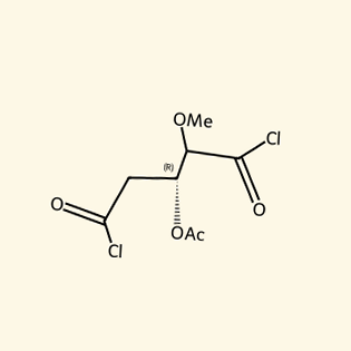 COC(C(=O)Cl)[C@@H](CC(=O)Cl)OC(C)=O